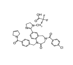 CN1CCN=C1c1ccc2c(c1)CN(C(=O)c1ccc(Cl)cc1)CC(=O)N2Cc1ccc(C(=O)N2CC=CC2)cc1.O=C(O)C(F)(F)F